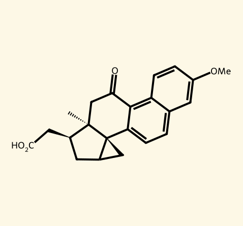 COc1ccc2c3c(ccc2c1)[C@]12CC1C[C@@H](CC(=O)O)[C@@]2(C)CC3=O